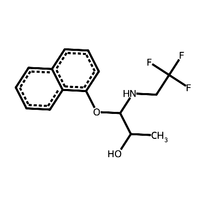 CC(O)C(NCC(F)(F)F)Oc1cccc2ccccc12